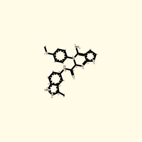 COc1ccc(N2C(N)=c3ccoc3=NC2C(=O)Nc2ccc3[nH]nc(C)c3c2)cc1